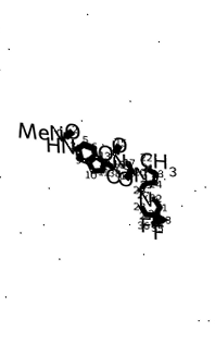 CNC(=O)Nc1ccc2c(c1)CCC21OC(=O)N(CC(=O)N2C(C)CCC2CN2CCC3(CC2)CC3(F)F)C1=O